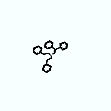 C(=C(c1ccccc1)c1ccccc1)N(CCc1ccccc1)CCc1ccccc1